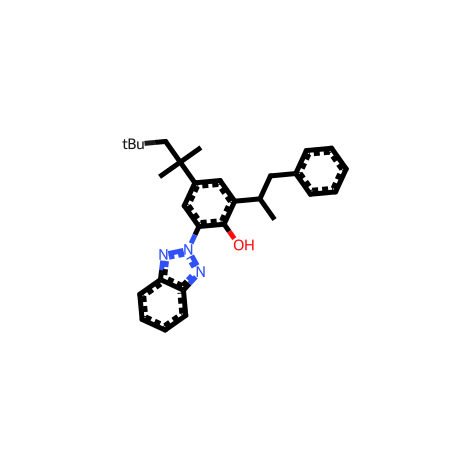 CC(Cc1ccccc1)c1cc(C(C)(C)CC(C)(C)C)cc(-n2nc3ccccc3n2)c1O